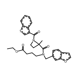 CCOC(=O)CCCN(Cc1ccc2ccoc2c1)C(=O)C1(C)CCN1C(=O)c1csc2ccccc12